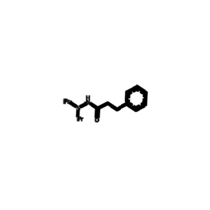 CC(C)N(NC(=O)CCc1ccccc1)C(C)C